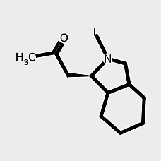 CC(=O)C[C@@H]1C2CCCCC2CN1I